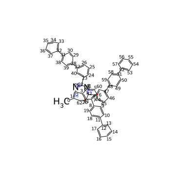 C\C1=C(c2cccc(-c3ccc(-c4ccccc4)cc3)c2)/N=C(c2cccc(-c3ccc(-c4ccccc4)cc3)c2)\N=C(\c2cccc(-c3ccc(-c4ccccc4)cc3)c2)CC1